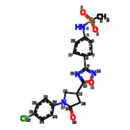 CS(=O)(=O)Nc1ccc(-c2noc(C3CC(=O)N(c4ccc(Cl)cc4)C3)n2)cc1